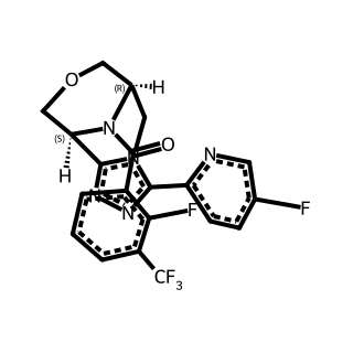 O=C(c1cccc(C(F)(F)F)c1F)N1[C@H]2COC[C@@H]1c1nnc(-c3ccc(F)cn3)n1C2